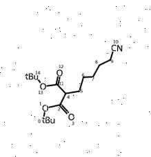 CC(C)(C)OC(=O)C(CCCCCC#N)C(=O)OC(C)(C)C